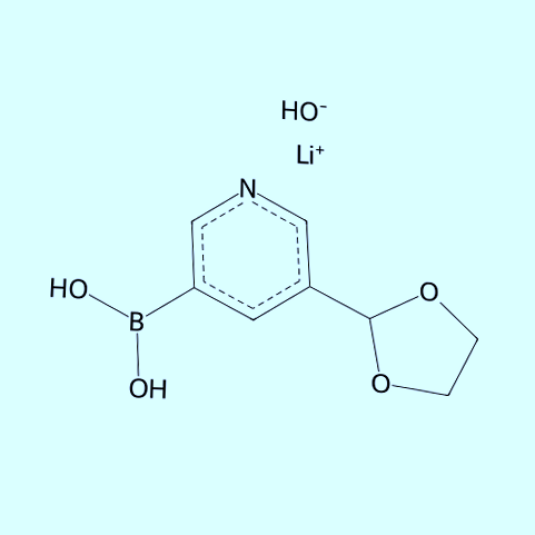 OB(O)c1cncc(C2OCCO2)c1.[Li+].[OH-]